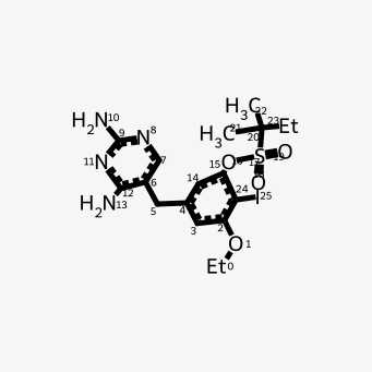 CCOc1cc(Cc2cnc(N)nc2N)cc(OS(=O)(=O)C(C)(C)CC)c1I